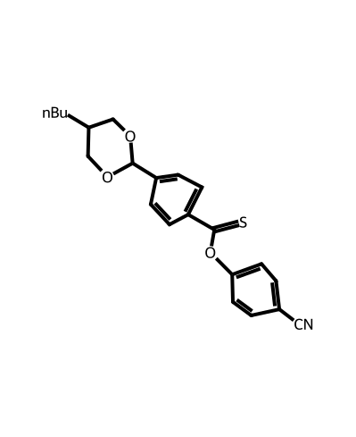 CCCCC1COC(c2ccc(C(=S)Oc3ccc(C#N)cc3)cc2)OC1